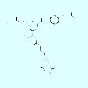 BC(=O)OCc1ccc(NC(=O)[C@H](CCCNC(N)=O)NC(=O)[C@@H](NC(=O)CCCCCN2C(=O)CC(S)C2=O)C(C)C)cc1